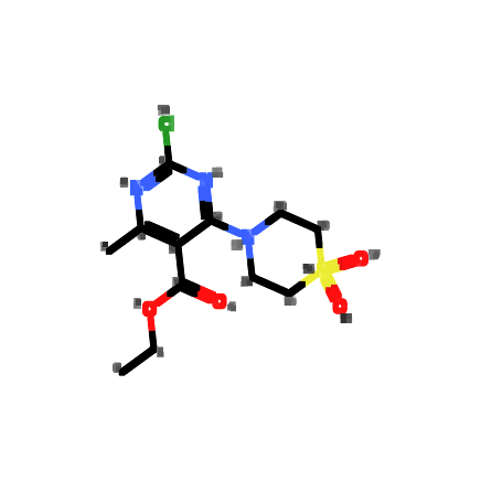 CCOC(=O)c1c(C)nc(Cl)nc1N1CCS(=O)(=O)CC1